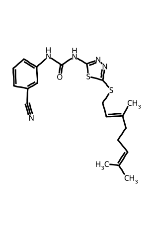 CC(C)=CCC/C(C)=C/CSc1nnc(NC(=O)Nc2cccc(C#N)c2)s1